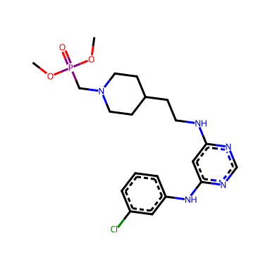 COP(=O)(CN1CCC(CCNc2cc(Nc3cccc(Cl)c3)ncn2)CC1)OC